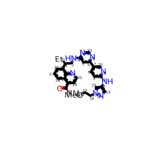 CCC(CNc1cc(-c2ccc(Nc3cnn(CCOC)c3)nc2)ncn1)c1cccc2c(C(=O)NC)ccnc12